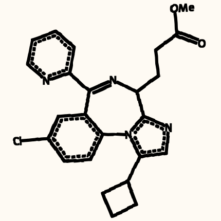 COC(=O)CCC1N=C(c2ccccn2)c2cc(Cl)ccc2-n2c(C3CCC3)cnc21